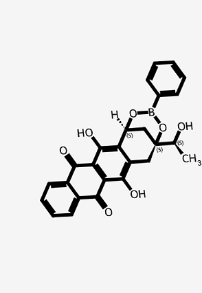 C[C@H](O)[C@]12Cc3c(O)c4c(c(O)c3[C@H](C1)OB(c1ccccc1)O2)C(=O)c1ccccc1C4=O